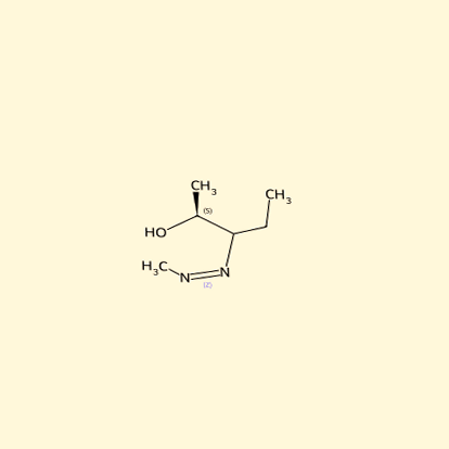 CCC(/N=N\C)[C@H](C)O